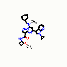 CO[C@H]1CC[C@@H]1NC(=O)c1cnn2c(N(C)Cc3ccccc3)cc(-c3cn(C4CC4)c4ncccc34)nc12